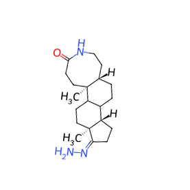 C[C@]12CCC3C(CC[C@H]4CCNC(=O)CC[C@]34C)[C@@H]1CC/C2=N/N